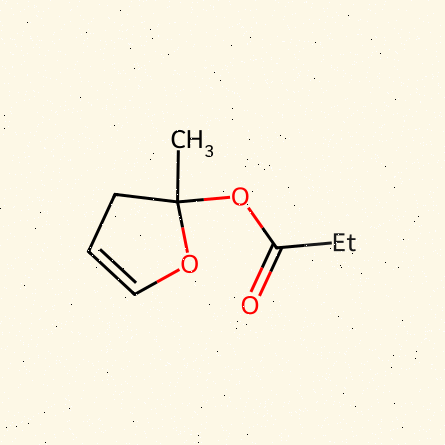 CCC(=O)OC1(C)CC=CO1